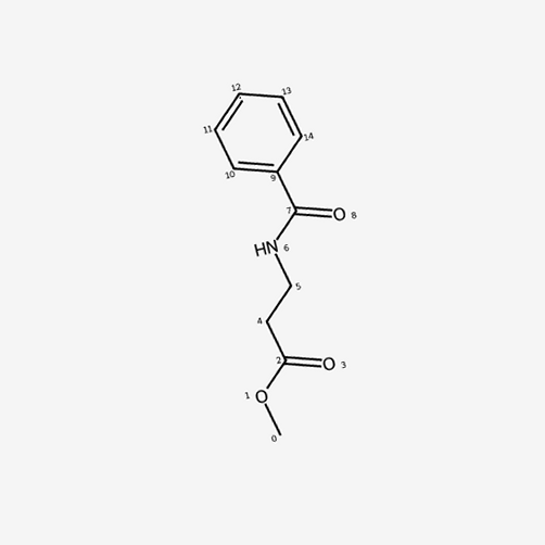 COC(=O)CCNC(=O)c1cc[c]cc1